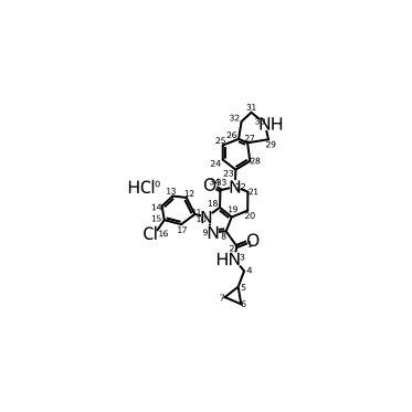 Cl.O=C(NCC1CC1)c1nn(-c2cccc(Cl)c2)c2c1CCN(c1ccc3c(c1)CNCC3)C2=O